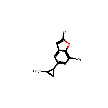 CCc1cc2cc(C3CC3C(=O)O)cc(C)c2o1